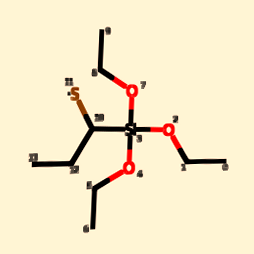 CCO[Si](OCC)(OCC)C([S])CC